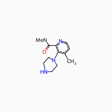 CNC(=O)c1nccc(C)c1N1CCNCC1